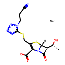 C[C@@H](O)[C@H]1C(=O)N2C(C(=O)[O-])=C(CSc3nnnn3CCC#N)S[C@H]12.[Na+]